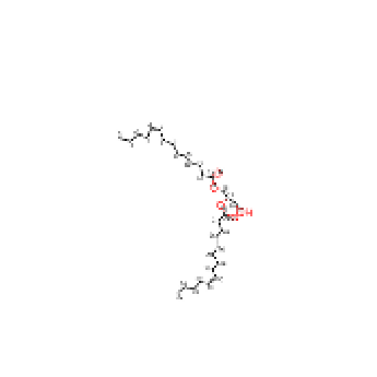 CCCC/C=C\CCCCCCCC(=O)OCC(CO)OC(=O)CCCCCCC/C=C\CCCC